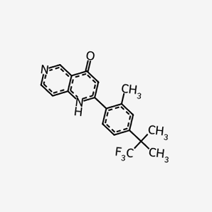 Cc1cc(C(C)(C)C(F)(F)F)ccc1-c1cc(=O)c2cnccc2[nH]1